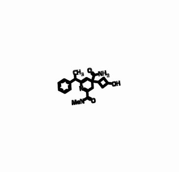 CNC(=O)C1=NC(C(C)c2ccccc2)=CC(C(N)=O)(C2CC(O)C2)C1